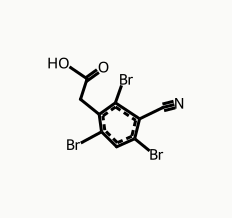 N#Cc1c(Br)cc(Br)c(CC(=O)O)c1Br